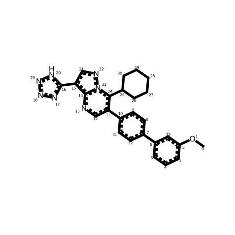 COc1cccc(-c2ccc(-c3cnc4c(-c5nnn[nH]5)cnn4c3C3CCCCC3)cc2)c1